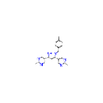 Cc1ccc(/C=N/C(=C\C(=N)c2cnc(C)nc2)c2cnc(C)nc2)cc1